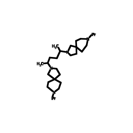 CC(C)N1CCC2(CC1)CCN(C(C)CCC(C)N1CCC3(CCN(C(C)C)CC3)C1)C2